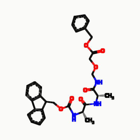 C[C@H](NC(=O)OCC1c2ccccc2-c2ccccc21)C(=O)N[C@@H](C)C(=O)NCOCC(=O)OCc1ccccc1